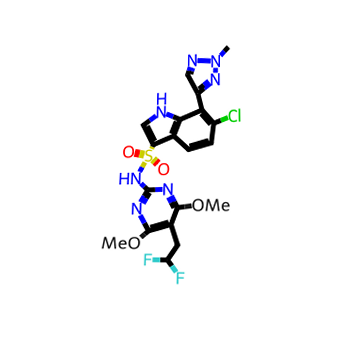 COc1nc(NS(=O)(=O)c2c[nH]c3c(-c4cnn(C)n4)c(Cl)ccc23)nc(OC)c1CC(F)F